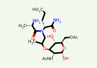 CC(=O)N[C@@H]1[C@@H](OC(C)CN(C(=O)[C@H](C)N)[C@H](CCC(=O)O)C(N)=O)[C@H](O)[C@@H](COC(C)=O)O[C@@H]1O